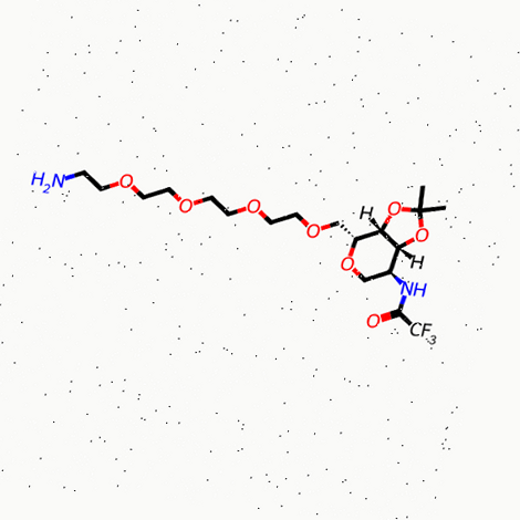 CC1(C)O[C@@H]2[C@H](O1)[C@@H](NC(=O)C(F)(F)F)CO[C@@H]2COCCOCCOCCOCCN